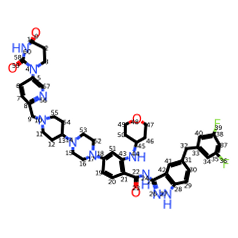 O=C1CCN(c2ccc(CN3CCC(N4CCN(c5ccc(C(=O)Nc6n[nH]c7ccc(Cc8cc(F)cc(F)c8)cc67)c(NC6CCOCC6)c5)CC4)CC3)nc2)C(=O)N1